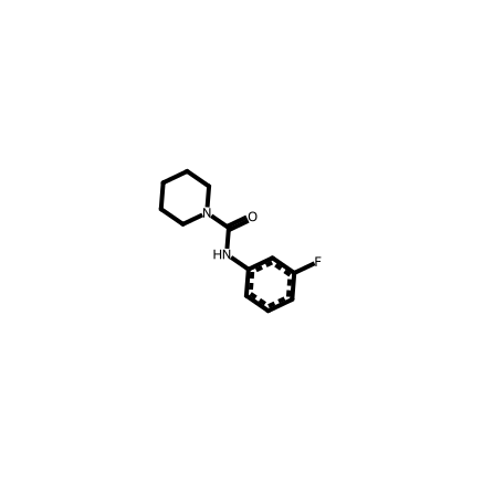 O=C(Nc1cccc(F)c1)N1CCCCC1